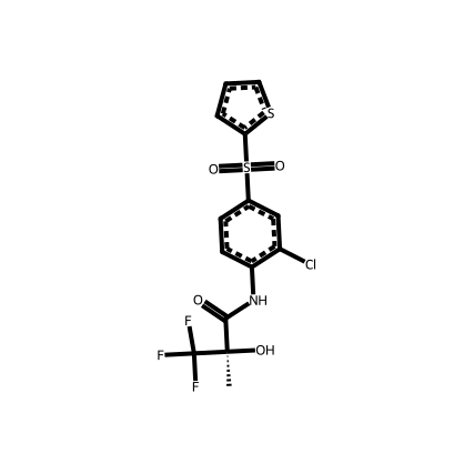 C[C@@](O)(C(=O)Nc1ccc(S(=O)(=O)c2cccs2)cc1Cl)C(F)(F)F